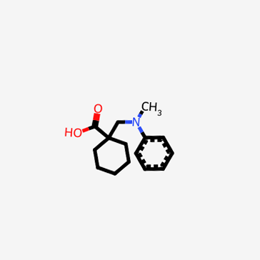 CN(CC1(C(=O)O)CCCCC1)c1ccccc1